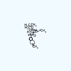 C=CCOC[C@@](C)(NC(=O)OC(C)(C)C)C(=O)Nc1ccc2c(c1)CCN(C)CC2